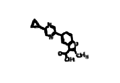 Cc1oc2ccc(-c3cnc(C4CC4)cn3)cc2c1C(=O)O